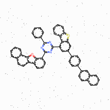 c1ccc(-c2nc(-c3cccc4c3oc3c5ccccc5ccc43)nc(-c3cc(-c4ccc(-c5ccc6ccccc6c5)cc4)cc4sc5ccccc5c34)n2)cc1